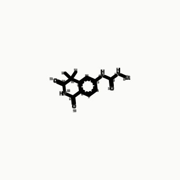 CCNC(=O)Nc1ccc2c(c1)C(C)(C)C(=O)NC2=O